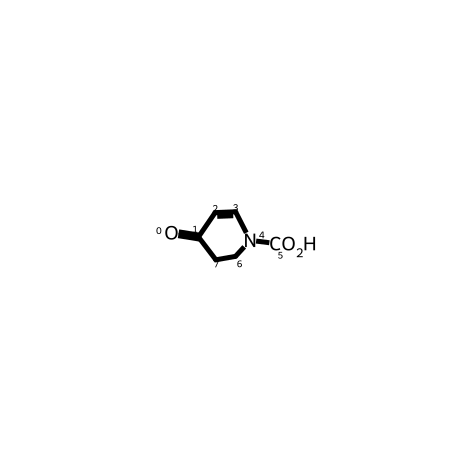 O=C1C=CN(C(=O)O)CC1